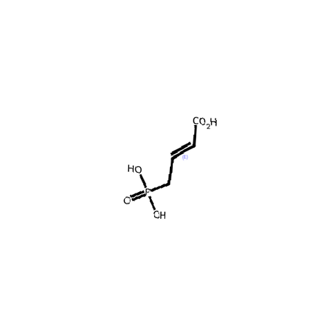 O=C(O)/C=C/CP(=O)(O)O